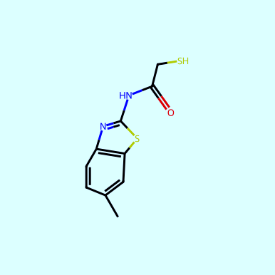 Cc1ccc2nc(NC(=O)CS)sc2c1